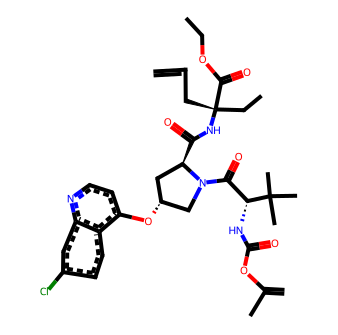 C=CC[C@@](CC)(NC(=O)[C@@H]1C[C@@H](Oc2ccnc3cc(Cl)ccc23)CN1C(=O)[C@@H](NC(=O)OC(=C)C)C(C)(C)C)C(=O)OCC